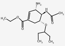 CCOC(=O)C1=C[C@H](N)[C@@H](NC(C)=O)[C@H](OC(CC)CC)C1